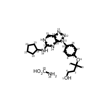 CC(C)(CCO)Oc1ccc(-n2nnc3cnc(NC4CCCC4)nc32)cc1.NC(=O)O